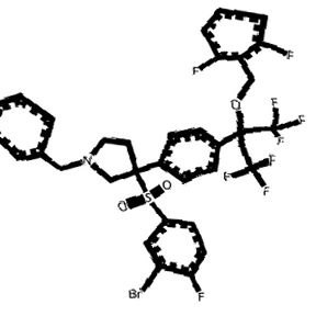 O=S(=O)(c1ccc(F)c(Br)c1)C1(c2ccc(C(OCc3c(F)cccc3F)(C(F)(F)F)C(F)(F)F)cc2)CCN(Cc2ccccc2)C1